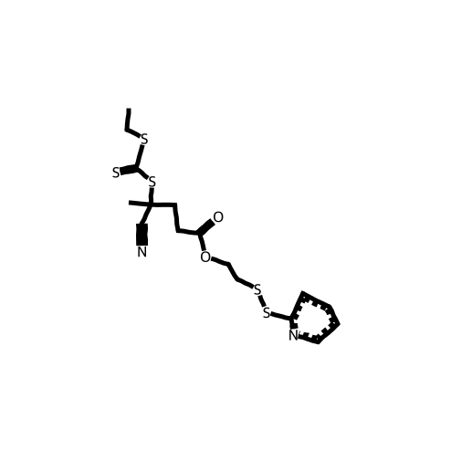 CCSC(=S)SC(C)(C#N)CCC(=O)OCCSSc1ccccn1